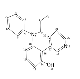 CCCN(c1ccccc1)c1cccc(O)c1-c1cnccn1